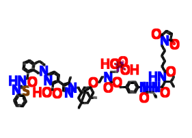 Cc1c(-c2ccc(N3CCc4cccc(C(=O)Nc5nc6ccccc6s5)c4C3)nc2C(=O)O)cnn1CC12CC3(C)CC(C)(C1)CC(OCCN(CCP(=O)(O)O)C(=O)OCc1ccc(NC(=O)[C@H](C)NC(=O)[C@@H](NC(=O)CCCCCN4C(=O)C=CC4=O)C(C)C)cc1)(C3)C2